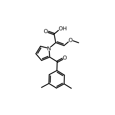 COC=C(C(=O)O)n1cccc1C(=O)c1cc(C)cc(C)c1